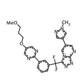 COCCCOc1cnc(-c2cccc(C(F)(F)c3nnc4ncc(-c5cnn(C)c5)cn34)c2)nc1